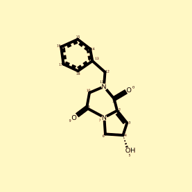 O=C1C2=C[C@H](O)CN2C(=O)CN1Cc1ccccc1